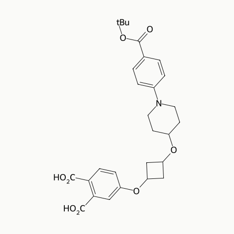 CC(C)(C)OC(=O)c1ccc(N2CCC(OC3CC(Oc4ccc(C(=O)O)c(C(=O)O)c4)C3)CC2)cc1